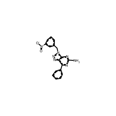 Nc1nc(-c2ccccc2)c2nnn(Cc3cccc([N+](=O)[O-])c3)c2n1